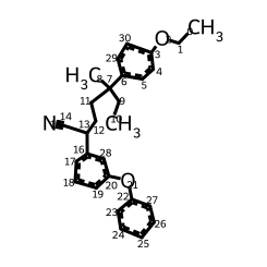 CCOc1ccc(C(C)(CC)CCC(C#N)c2cccc(Oc3ccccc3)c2)cc1